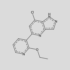 CCOc1ncccc1-c1cc(Cl)c2[nH]ncc2n1